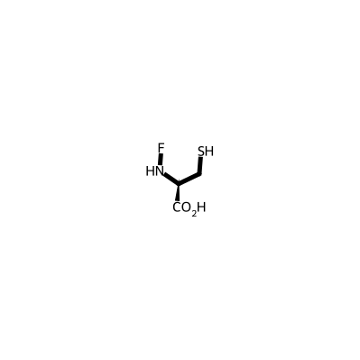 O=C(O)[C@H](CS)NF